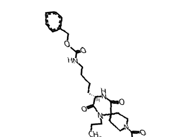 CCCN1C(=O)[C@H](CCCCNC(=O)OCc2ccccc2)NC(=O)C12CCN(C(=O)C1CC1)CC2